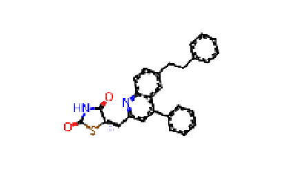 O=C1NC(=O)/C(=C\c2cc(-c3ccccc3)c3cc(CCc4ccccc4)ccc3n2)S1